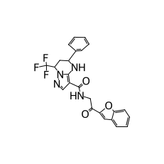 O=C(CNC(=O)c1cnn2c1NC(c1ccccc1)CC2C(F)(F)F)c1cc2ccccc2o1